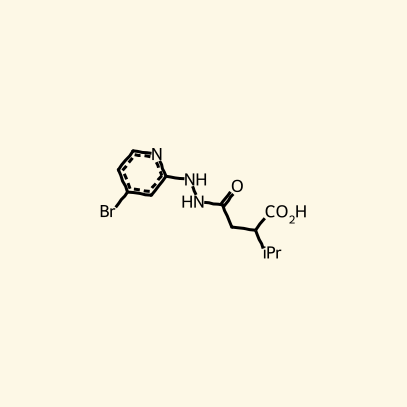 CC(C)C(CC(=O)NNc1cc(Br)ccn1)C(=O)O